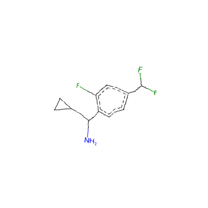 NC(c1ccc(C(F)F)cc1F)C1CC1